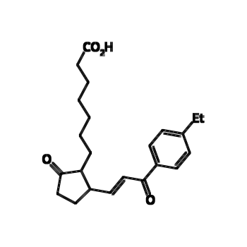 CCc1ccc(C(=O)C=CC2CCC(=O)C2CCCCCCC(=O)O)cc1